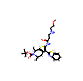 COCCNCCC(=O)Nc1sc2c(c1-c1nc3ccccc3s1)CC(C)N(C(=O)OC(C)(C)C)C2C